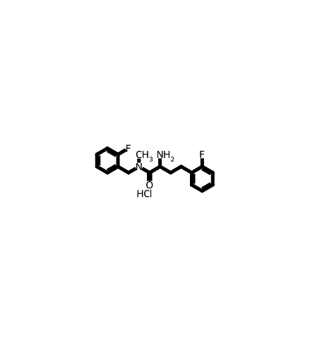 CN(Cc1ccccc1F)C(=O)C(N)CCc1ccccc1F.Cl